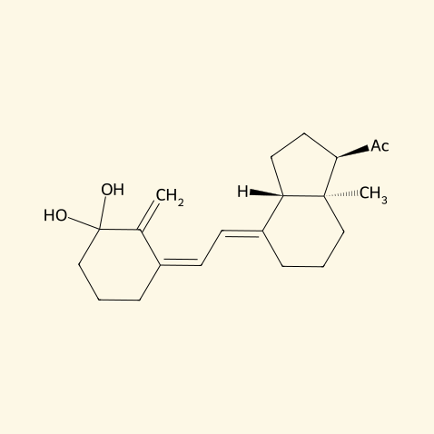 C=C1/C(=C\C=C2/CCC[C@]3(C)[C@H](C(C)=O)CC[C@@H]23)CCCC1(O)O